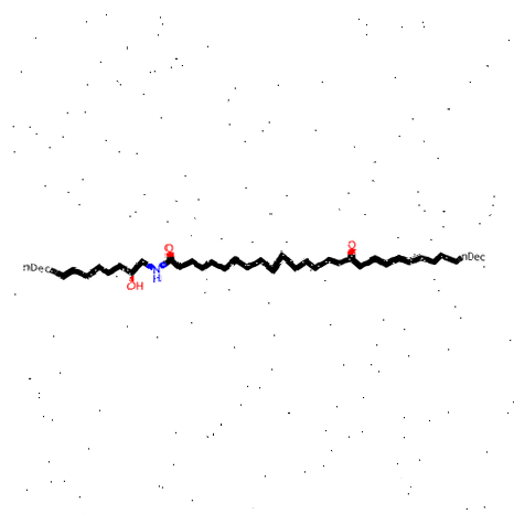 CCCCCCCCCCCCCCCCCCCC(=O)CCCCCCCCCCCCCCCC(=O)NC[C@@H](O)CCCCCCCCCCCCCCCC